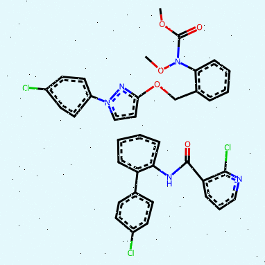 COC(=O)N(OC)c1ccccc1COc1ccn(-c2ccc(Cl)cc2)n1.O=C(Nc1ccccc1-c1ccc(Cl)cc1)c1cccnc1Cl